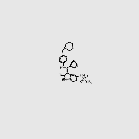 O=C1Nc2ccc(NS(=O)(=O)C(F)(F)F)cc2C1=C(Nc1ccc(CN2CCCCC2)cc1)c1ccccc1